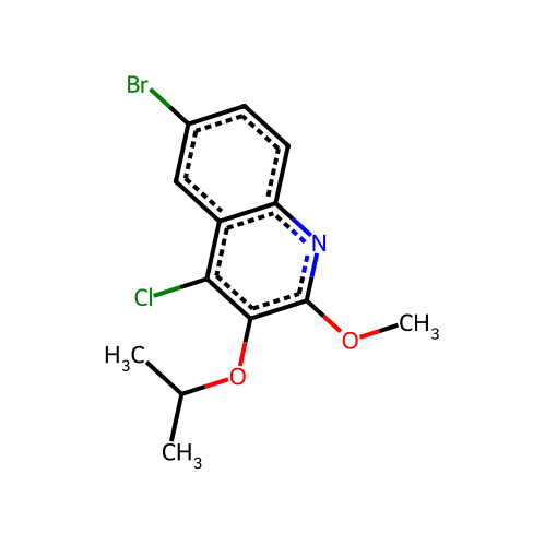 COc1nc2ccc(Br)cc2c(Cl)c1OC(C)C